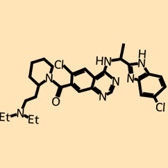 CCN(CC)CCC1CCCCN1C(=O)c1cc2ncnc(NC(C)c3nc4cc(Cl)ccc4[nH]3)c2cc1Cl